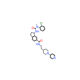 CN(C(=O)NC1CCc2ccc(C(=O)NCCC3CCN(c4ccncc4)CC3)cc21)c1ccccc1Cl